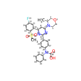 CC1COCCN1c1cc(-c2cc(F)ccc2S(C)(=O)=O)nc(-c2ccc(N(C(=O)O)c3ccccc3)cc2)n1